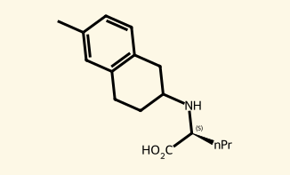 CCC[C@H](NC1CCc2cc(C)ccc2C1)C(=O)O